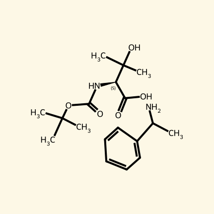 CC(C)(C)OC(=O)N[C@H](C(=O)O)C(C)(C)O.CC(N)c1ccccc1